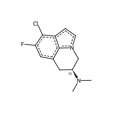 CN(C)[C@H]1Cc2cc(F)c(Cl)c3ccn(c23)C1